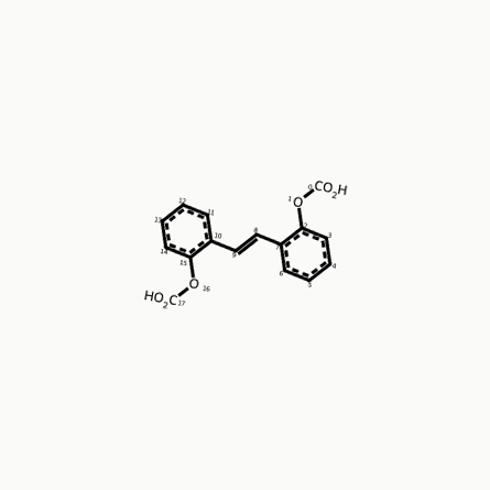 O=C(O)Oc1ccccc1C=Cc1ccccc1OC(=O)O